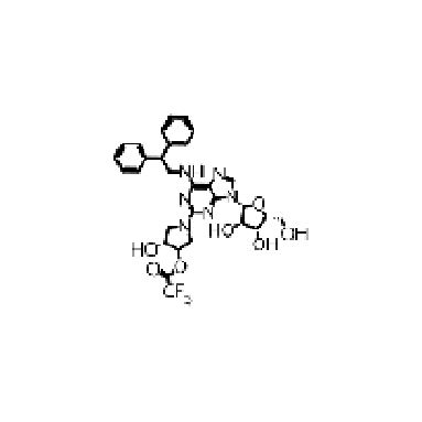 O=C(O[C@@H]1CN(c2nc(NCC(c3ccccc3)c3ccccc3)c3ncn([C@@H]4O[C@H](CO)[C@@H](O)[C@H]4O)c3n2)C[C@H]1O)C(F)(F)F